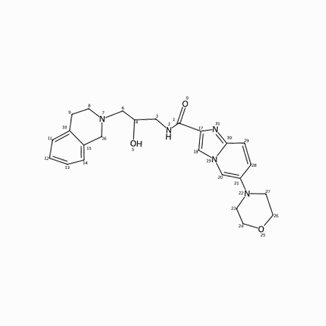 O=C(NCC(O)CN1CCc2ccccc2C1)c1cn2cc(N3CCOCC3)ccc2n1